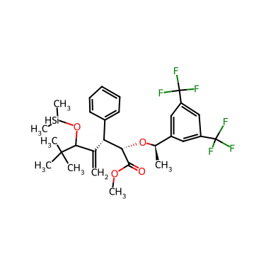 C=C(C(O[SiH](C)C)C(C)(C)C)[C@H](c1ccccc1)[C@H](O[C@H](C)c1cc(C(F)(F)F)cc(C(F)(F)F)c1)C(=O)OC